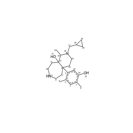 Cc1cc(C)c(C23CCNCCC2(O)C(C)N(CC2CC2)CC3)cc1O